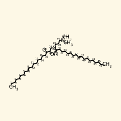 CCCCCCCCC=CCCCCCCCC(=O)C(O)CN(CCCN(C)C)C(=O)CCCCCCCC=CCCCCCCCC